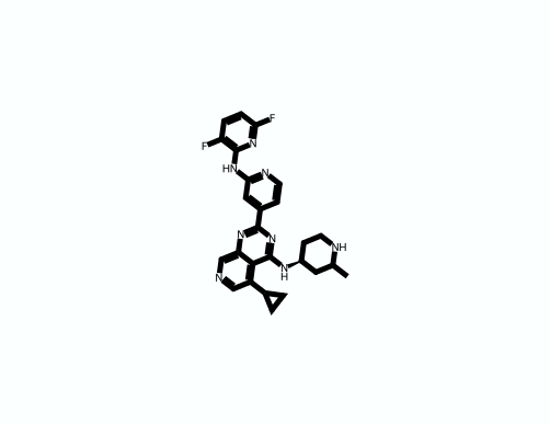 CC1C[C@@H](Nc2nc(-c3ccnc(Nc4nc(F)ccc4F)c3)nc3cncc(C4CC4)c23)CCN1